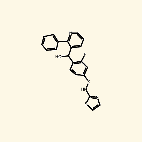 OC(c1ccc(SNc2nccs2)cc1F)c1cccnc1-c1ccccc1